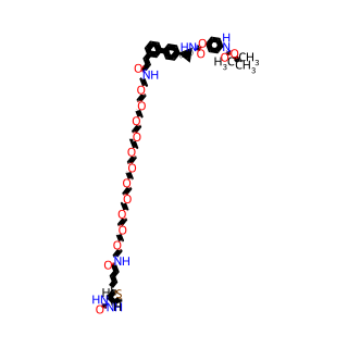 CC(C)(C)OC(=O)N[C@H]1CC[C@H](OC(=O)N[C@@H]2C[C@H]2c2ccc(-c3cccc(CCC(=O)NCCOCCOCCOCCOCCOCCOCCOCCOCCOCCOCCOCCNC(=O)CCCC[C@@H]4SC[C@@H]5NC(=O)N[C@@H]54)c3)cc2)CC1